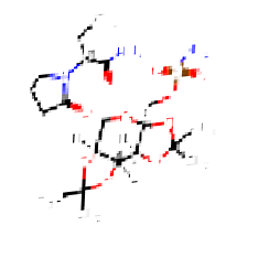 CC1(C)O[C@@H]2[C@@H](CO[C@@]3(COS(N)(=O)=O)OC(C)(C)O[C@@H]23)O1.CC[C@@H](C(N)=O)N1CCCC1=O